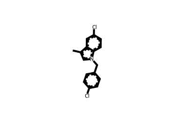 Cc1cn(Cc2ccc(Cl)cc2)c2ccc(Cl)cc12